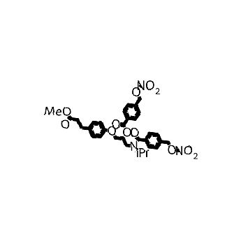 COC(=O)CCc1ccc(OCC(CN(C(=O)c2ccc(CO[N+](=O)[O-])cc2)C(C)C)OC(=O)c2ccc(CO[N+](=O)[O-])cc2)cc1